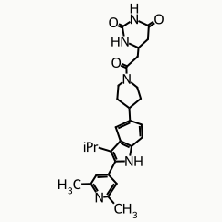 Cc1cc(-c2[nH]c3ccc(C4CCN(C(=O)CC5CC(=O)NC(=O)N5)CC4)cc3c2C(C)C)cc(C)n1